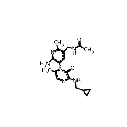 CC(=O)NCc1cc(-n2c(C)cnc(NCC3CC3)c2=O)c(N)nc1C